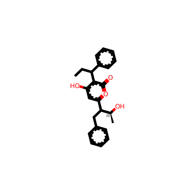 CCC(c1ccccc1)c1c(O)cc(C(Cc2ccccc2)[C@H](C)O)oc1=O